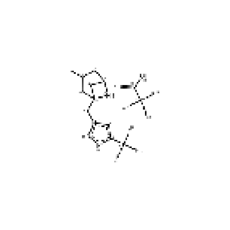 CC1CC2CC(Cn3cc(C(F)(F)F)nn3)(C1)N2.O=C(O)C(F)(F)F